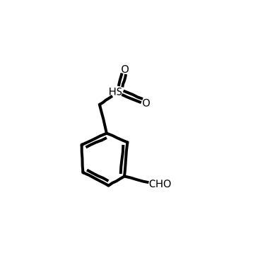 O=Cc1cccc(C[SH](=O)=O)c1